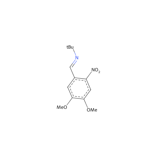 COc1cc(/C=N/C(C)(C)C)c([N+](=O)[O-])cc1OC